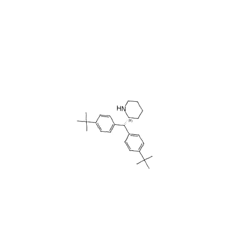 CC(C)(C)c1ccc(C(c2ccc(C(C)(C)C)cc2)[C@H]2CCCCN2)cc1